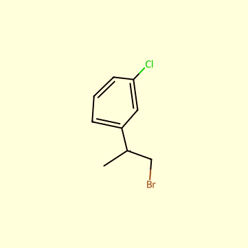 C[C](CBr)c1cccc(Cl)c1